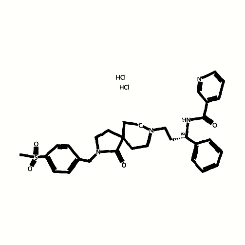 CS(=O)(=O)c1ccc(CN2CCC3(CCN(CC[C@H](NC(=O)c4cccnc4)c4ccccc4)CC3)C2=O)cc1.Cl.Cl